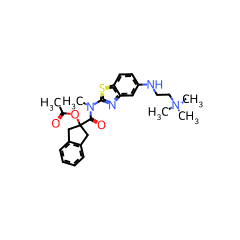 CC(=O)OC1(C(=O)N(C)c2nc3cc(NCC[N+](C)(C)C)ccc3s2)Cc2ccccc2C1